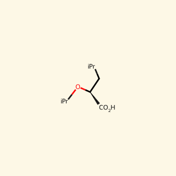 CC(C)C[C@H](OC(C)C)C(=O)O